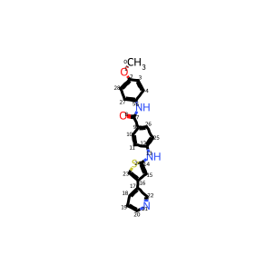 COc1ccc(NC(=O)c2ccc(Nc3cc(-c4cccnc4)cs3)cc2)cc1